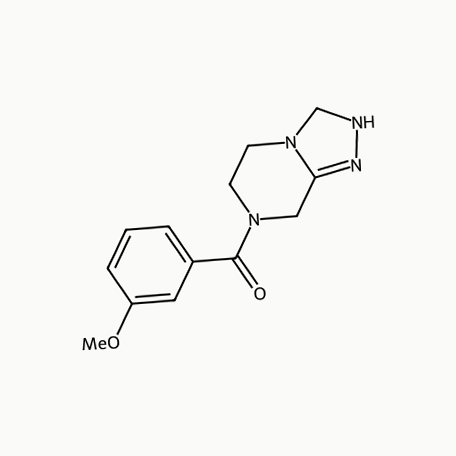 COc1cccc(C(=O)N2CCN3CNN=C3C2)c1